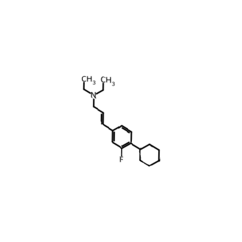 CCN(CC)C/C=C/c1ccc(C2CCCCC2)c(F)c1